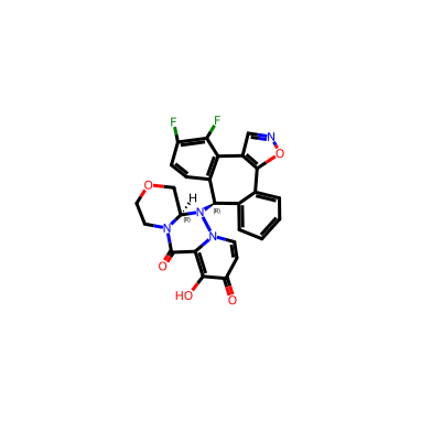 O=C1c2c(O)c(=O)ccn2N([C@@H]2c3ccccc3-c3oncc3-c3c2ccc(F)c3F)[C@@H]2COCCN12